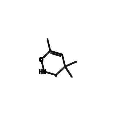 CC1=CC(C)(C)[CH]NO1